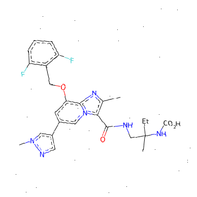 CCC(C)(CNC(=O)c1c(C)nc2c(OCc3c(F)cccc3F)cc(-c3cnn(C)c3)cn12)NC(=O)O